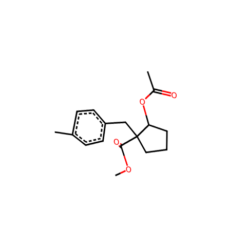 COC(=O)C1(Cc2ccc(C)cc2)CCCC1OC(C)=O